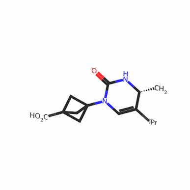 CC(C)C1=CN(C23CC(C(=O)O)(C2)C3)C(=O)N[C@@H]1C